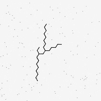 CCCCCCCCC(CC)CC(CCCCC)CCCCCCCC